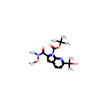 CON(C)C(=O)c1cc2ccc(C(C)(C)O)nc2n1C(=O)OC(C)(C)C